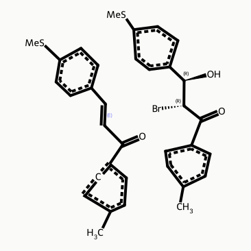 CSc1ccc(/C=C/C(=O)c2ccc(C)cc2)cc1.CSc1ccc([C@@H](O)[C@@H](Br)C(=O)c2ccc(C)cc2)cc1